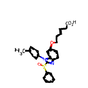 Cc1ccc(-n2c([S+]([O-])c3ccccc3)nc3ccc(OCCCCCC(=O)O)cc32)cc1